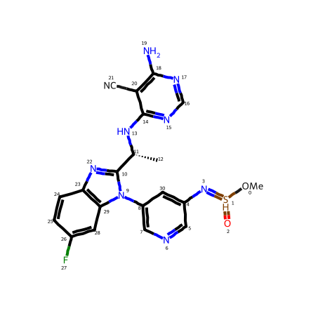 CO[SH](=O)=Nc1cncc(-n2c([C@@H](C)Nc3ncnc(N)c3C#N)nc3ccc(F)cc32)c1